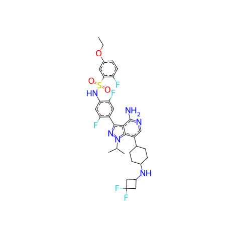 CCOc1ccc(F)c(S(=O)(=O)Nc2cc(F)c(-c3nn(C(C)C)c4c(C5CCC(NC6CC(F)(F)C6)CC5)cnc(N)c34)cc2F)c1